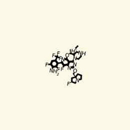 CC[C@@H]1NCCN2c3nc(OC[C@@]45CCCN4C[C@H](F)C5)nc4c(F)c(-c5c(C(F)(F)F)cc(F)c(N)c5F)nc(c34)O[C@@H](C)[C@H]12